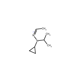 C/C=N\N(C(C)C)C1CC1